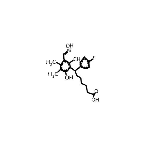 Cc1c(C)c(/C=N/O)c(C)c(C(CCCCCC(=O)O)c2ccc(F)cc2)c1O